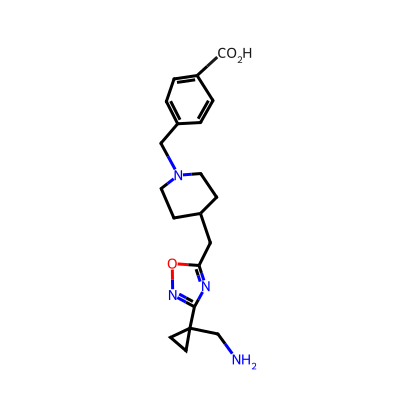 NCC1(c2noc(CC3CCN(Cc4ccc(C(=O)O)cc4)CC3)n2)CC1